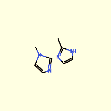 Cc1ncc[nH]1.Cn1ccnc1